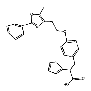 Cc1oc(-c2ccccc2)nc1CCOc1ccc(CC(C(=O)O)c2cccs2)cc1